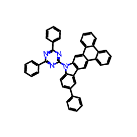 c1ccc(-c2ccc3c(c2)c2cc4c5ccccc5c5ccccc5c4cc2n3-c2nc(-c3ccccc3)nc(-c3ccccc3)n2)cc1